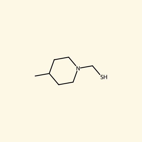 CC1CCN(CS)CC1